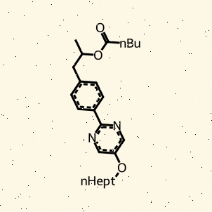 CCCCCCCOc1cnc(-c2ccc(CC(C)OC(=O)CCCC)cc2)nc1